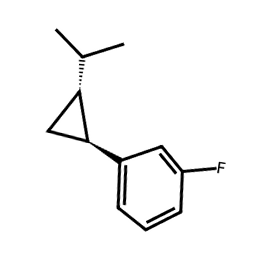 CC(C)[C@H]1C[C@@H]1c1cccc(F)c1